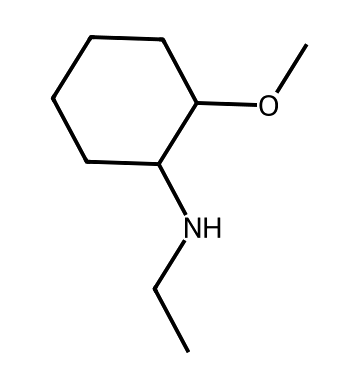 CCNC1CCCCC1OC